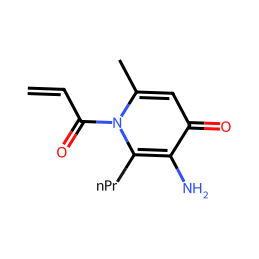 C=CC(=O)n1c(C)cc(=O)c(N)c1CCC